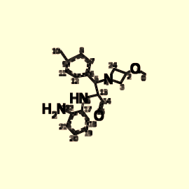 COC1CN(C(c2ccc(C)cc2)C(C=O)Nc2ccccc2N)C1